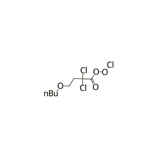 CCCCOCCC(Cl)(Cl)C(=O)OOCl